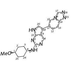 CO[C@H]1CC[C@@H](Nc2ncc3c(-c4ccc5nncn5c4)c[nH]c3n2)CC1